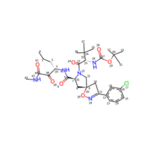 CCC[C@H](NC(=O)[C@@H]1C[C@]2(CC(c3cccc(Cl)c3)=NO2)CN1C(=O)[C@@H](NC(=O)OC(C)(C)C)C(C)(C)C)C(=O)C(=O)NC